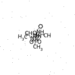 C#CCN1CC(=O)N2[C@@H](CCC)C(=O)N(CCC(C)C)C[C@@H]2N1C(=O)NCc1ccccc1